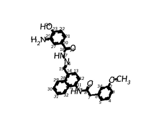 COc1cccc(CC(=O)Nc2ccc(/C=N/NC(=O)c3ccc(O)c(N)c3)c3ccccc23)c1